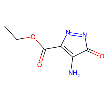 CCOC(=O)C1=C(N)C(=O)N=N1